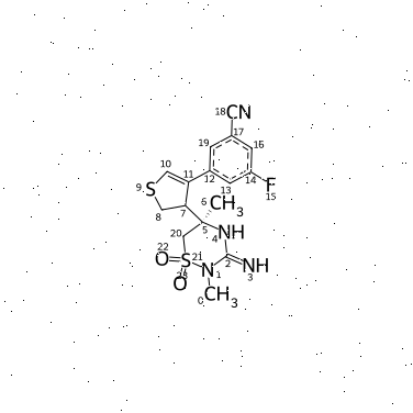 CN1C(=N)N[C@](C)(C2CSC=C2c2cc(F)cc(C#N)c2)CS1(=O)=O